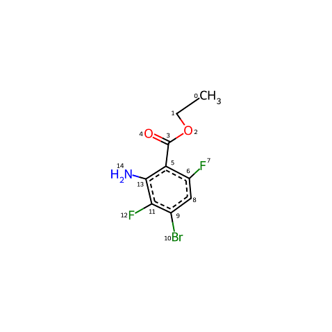 CCOC(=O)c1c(F)cc(Br)c(F)c1N